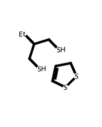 C1=CSSC1.CCC(CS)CS